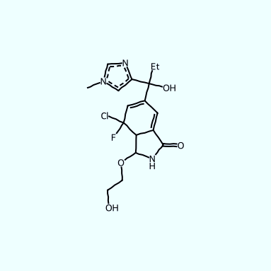 CCC(O)(C1=CC(F)(Cl)C2C(=C1)C(=O)NC2OCCO)c1cn(C)cn1